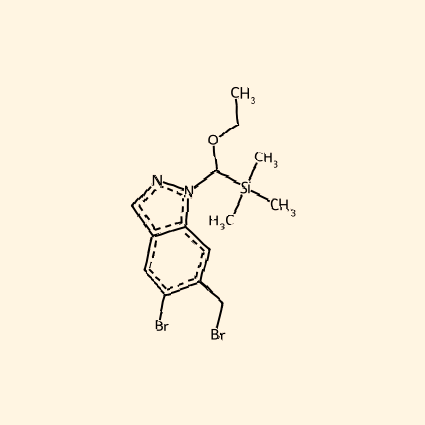 CCOC(n1ncc2cc(Br)c(CBr)cc21)[Si](C)(C)C